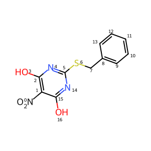 O=[N+]([O-])c1c(O)nc(SCc2ccccc2)nc1O